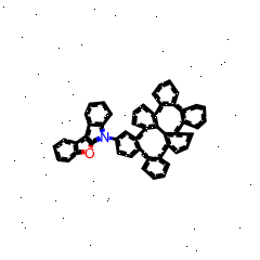 c1ccc2c(c1)oc1c2c2ccccc2n1-c1ccc2c(c1)c1cccc3c1-c1c(cccc1c1ccccc12)c1ccccc1c1ccccc31